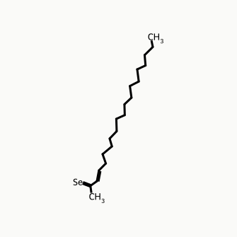 CCCCCCCCCCCCCCCCC=CC(C)=[Se]